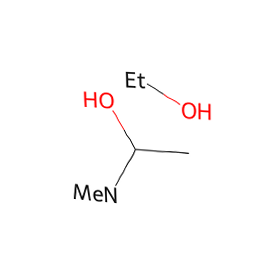 CCO.CNC(C)O